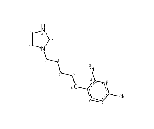 Clc1ccc(OCCCCN2C=CNC2)c(Cl)c1